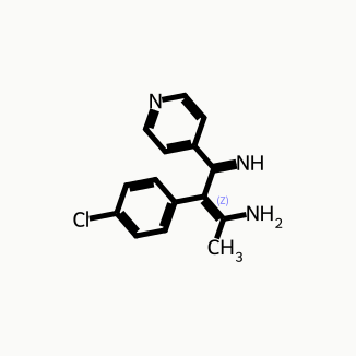 C/C(N)=C(/C(=N)c1ccncc1)c1ccc(Cl)cc1